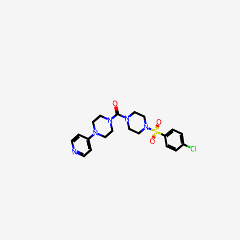 O=C(N1CCN(c2ccncc2)CC1)N1CCN(S(=O)(=O)c2ccc(Cl)cc2)CC1